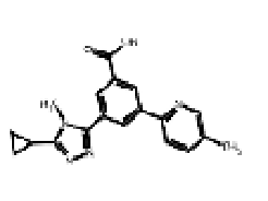 Cc1ccc(-c2cc(C(=O)O)cc(-c3nnc(C4CC4)n3C)c2)nc1